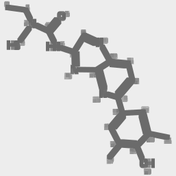 CCN(S)C(=O)Nc1cnc2ccc(-c3cc(C)c(O)c(C)c3)nc2n1